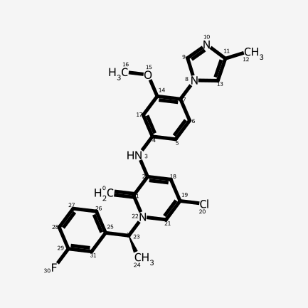 C=C1C(Nc2ccc(-n3cnc(C)c3)c(OC)c2)=CC(Cl)=CN1[C@@H](C)c1cccc(F)c1